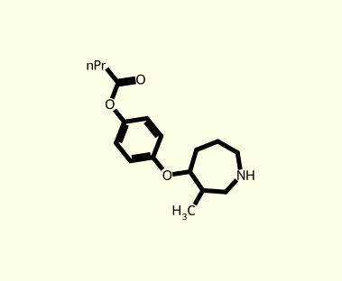 CCCC(=O)Oc1ccc(OC2CCCNCC2C)cc1